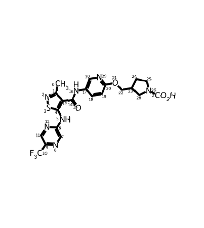 Cc1nsc(Nc2cnc(C(F)(F)F)cn2)c1C(=O)Nc1ccc(OCC2CCN(C(=O)O)C2)nc1